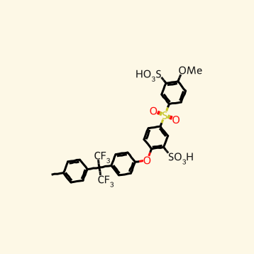 COc1ccc(S(=O)(=O)c2ccc(Oc3ccc(C(c4ccc(C)cc4)(C(F)(F)F)C(F)(F)F)cc3)c(S(=O)(=O)O)c2)cc1S(=O)(=O)O